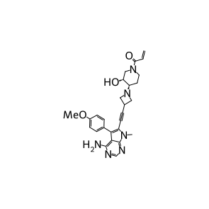 C=CC(=O)N1CC[C@@H](N2CC(C#Cc3c(-c4ccc(OC)cc4)c4c(N)ncnc4n3C)C2)[C@@H](O)C1